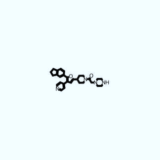 O=C(CN1CCNCC1)N1CCC(c2cc(-c3ccncc3)c(-c3ccc4c(c3)CCC4)o2)CC1